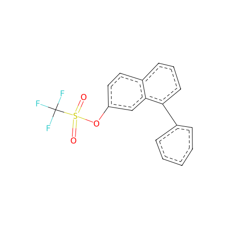 O=S(=O)(Oc1ccc2cccc(-c3ccccc3)c2c1)C(F)(F)F